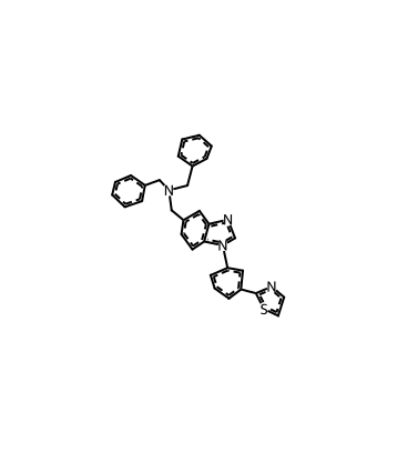 c1ccc(CN(Cc2ccccc2)Cc2ccc3c(c2)ncn3-c2cccc(-c3nccs3)c2)cc1